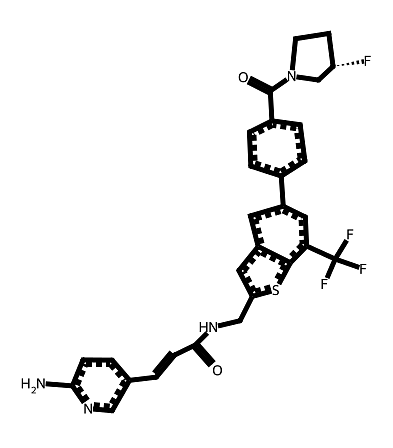 Nc1ccc(/C=C/C(=O)NCc2cc3cc(-c4ccc(C(=O)N5CC[C@H](F)C5)cc4)cc(C(F)(F)F)c3s2)cn1